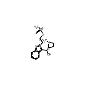 CS(=O)(=O)OCCn1nc2ccccc2c1C(O)[C@@H]1CCN1C(=O)O